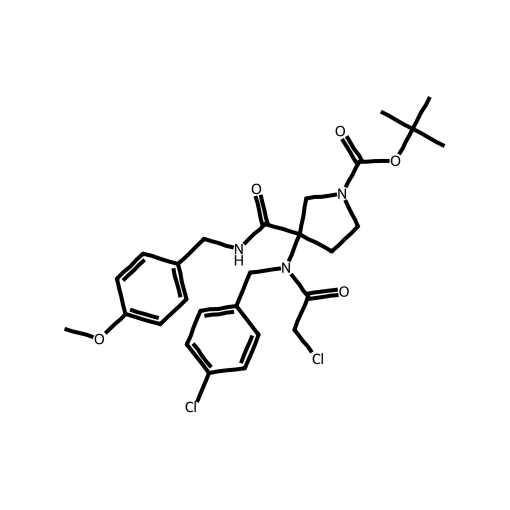 COc1ccc(CNC(=O)C2(N(Cc3ccc(Cl)cc3)C(=O)CCl)CCN(C(=O)OC(C)(C)C)C2)cc1